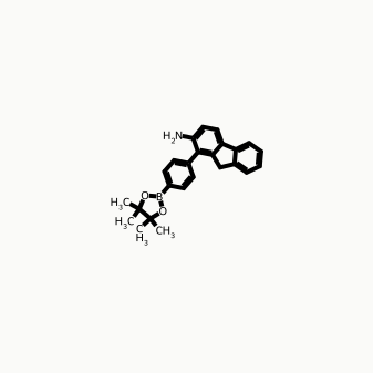 CC1(C)OB(c2ccc(-c3c(N)ccc4c3Cc3ccccc3-4)cc2)OC1(C)C